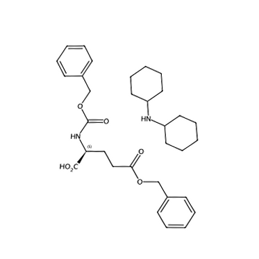 C1CCC(NC2CCCCC2)CC1.O=C(CC[C@H](NC(=O)OCc1ccccc1)C(=O)O)OCc1ccccc1